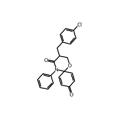 O=C1C=CC2(C=C1)OCC(Cc1ccc(Cl)cc1)C(=O)N2c1ccccc1